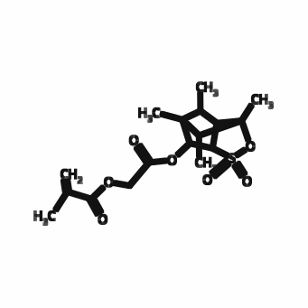 C=C(C)C(=O)OCC(=O)OC1C2C3C(C)C1(C)C(C)C3(C)OS2(=O)=O